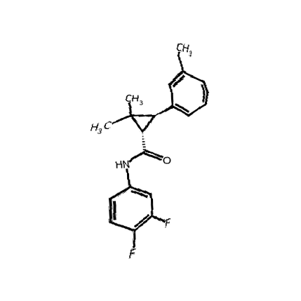 Cc1cccc([C@H]2[C@H](C(=O)Nc3ccc(F)c(F)c3)C2(C)C)c1